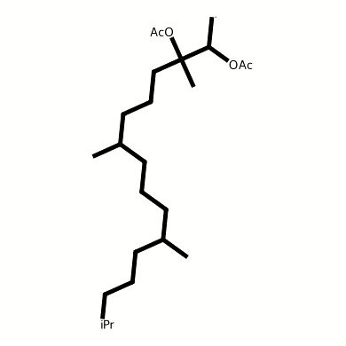 [CH2]C(OC(C)=O)C(C)(CCCC(C)CCCC(C)CCCC(C)C)OC(C)=O